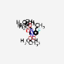 C=CCc1c(F)ccc2c1N(CCO[Si](C)(C)C(C)(C)C)C(=O)CN2C(=O)OC(C)(C)C